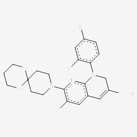 O=C(O)C1=Cc2cc(F)c(N3CCC4(CC3)OCCCO4)nc2N(c2ccc(F)cc2F)C1